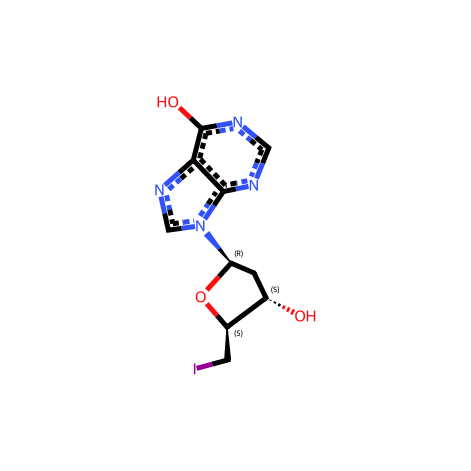 Oc1ncnc2c1ncn2[C@H]1C[C@H](O)[C@@H](CI)O1